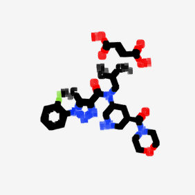 Cc1c(C(=O)N(CC(C)C)[C@@H]2CNC[C@H](C(=O)N3CCOCC3)C2)nnn1-c1ccccc1F.O=C(O)/C=C/C(=O)O